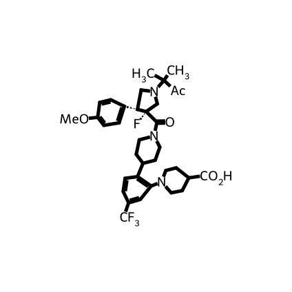 COc1ccc([C@@H]2CN(C(C)(C)C(C)=O)C[C@@]2(F)C(=O)N2CCC(c3ccc(C(F)(F)F)cc3N3CCC(C(=O)O)CC3)CC2)cc1